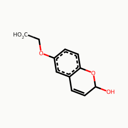 O=C(O)COc1ccc2c(c1)C=CC(O)O2